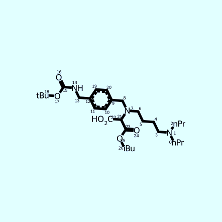 CCCN(CCC)CCCCN(Cc1ccc(CNC(=O)OC(C)(C)C)cc1)C(C(=O)O)C(=O)OC(C)CC